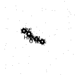 CN(C)C1(c2ccccc2)CCC2(CC1)CN(c1cnc(-c3ccccc3)nc1)C(=O)N2